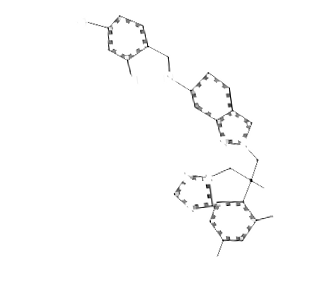 OC(Cn1cncn1)(Cn1cc2ccc(NCc3ccc(Cl)cc3Cl)cc2n1)c1ccc(F)cc1F